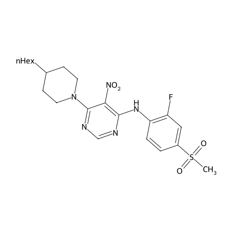 CCCCCCC1CCN(c2ncnc(Nc3ccc(S(C)(=O)=O)cc3F)c2[N+](=O)[O-])CC1